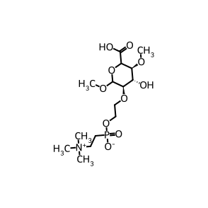 COC1OC(C(=O)O)[C@@H](OC)[C@H](O)[C@H]1OCCOP(=O)([O-])CC[N+](C)(C)C